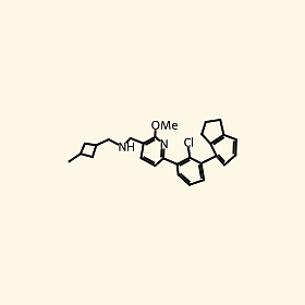 COc1nc(-c2cccc(-c3cccc4c3CCC4)c2Cl)ccc1CNCC1CC(C)C1